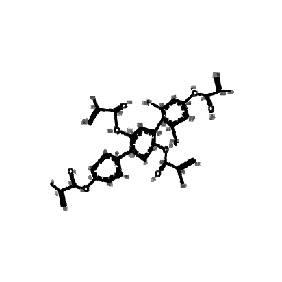 C=C(C)C(=O)Oc1ccc(-c2cc(OC(=O)C(=C)C)c(-c3c(F)cc(OC(=O)C(=C)C)cc3F)cc2OC(=O)C(=C)C)cc1